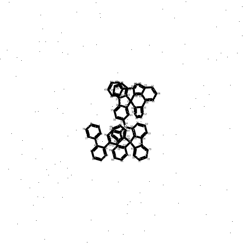 c1ccc(-c2ccccc2-c2ccc(N(c3ccc4c(c3)C3(c5ccccc5-4)c4ccccc4-c4cccc5ccc(-c6ccccc6)c3c45)c3cccc4c3C(c3ccccc3)(c3ccccc3)c3ccccc3-4)cc2)cc1